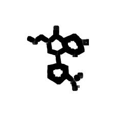 COCN1CN(c2cccc([N+](=O)[O-])c2)c2ncccc2C1=O.Cl